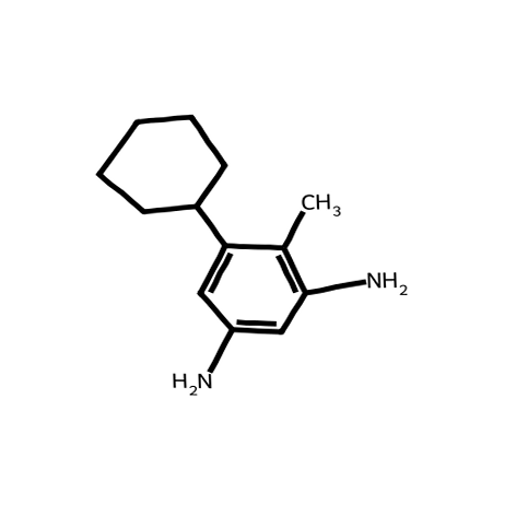 Cc1c(N)cc(N)cc1C1CCCCC1